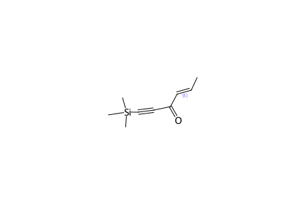 C/C=C/C(=O)C#C[Si](C)(C)C